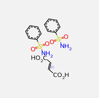 NS(=O)(=O)c1ccccc1.NS(=O)(=O)c1ccccc1.O=C(O)/C=C/C(=O)O